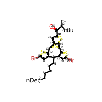 CCCCCCCCCCCCCCCC1c2cc(Br)sc2-c2sc(c3sc(C(=O)C(CC)CCCC)cc23)-c2sc(Br)cc21